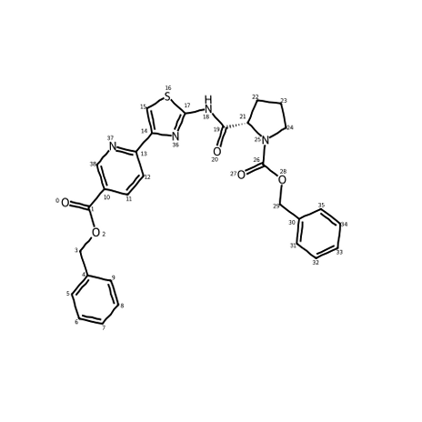 O=C(OCc1ccccc1)c1ccc(-c2csc(NC(=O)[C@@H]3CCCN3C(=O)OCc3ccccc3)n2)nc1